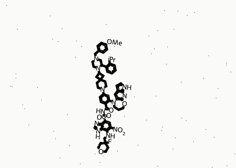 COc1ccc(CN2CCN(C3CC4(CCN(c5ccc(C(=O)NS(=O)(=O)c6cc([N+](=O)[O-])c(NCC7(F)CCOCC7)c7[nH]cnc67)c(N6CCCOc7nc8[nH]ccc8cc76)c5)CC4)C3)C(c3ccccc3C(C)C)C2)cc1